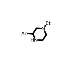 CCN1CCNC(C(C)=O)C1